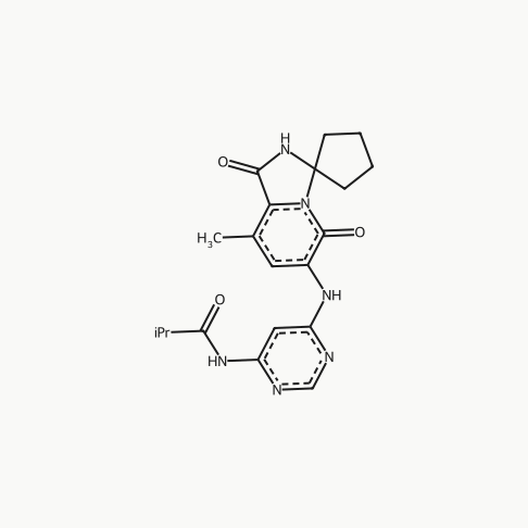 Cc1cc(Nc2cc(NC(=O)C(C)C)ncn2)c(=O)n2c1C(=O)NC21CCCC1